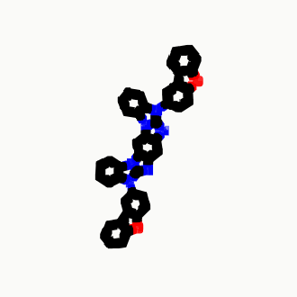 c1ccc2c(c1)oc1ccc(-n3c4ccccc4n4c5cc6c(cc5nc34)nc3n(-c4ccc5oc7ccccc7c5c4)c4ccccc4n63)cc12